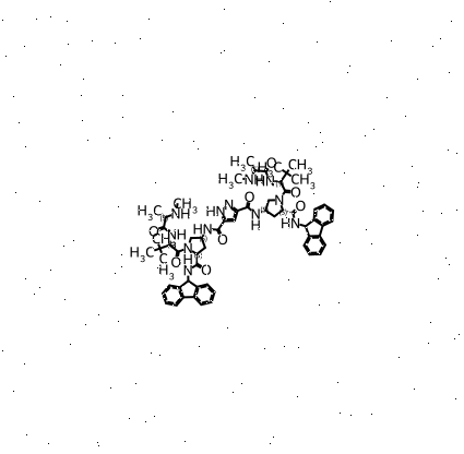 CN[C@@H](C)C(=O)N[C@H](C(=O)N1C[C@@H](NC(=O)c2cc(C(=O)N[C@H]3C[C@@H](C(=O)NC4c5ccccc5-c5ccccc54)N(C(=O)[C@@H](NC(=O)[C@H](C)NC)C(C)(C)C)C3)[nH]n2)C[C@H]1C(=O)NC1c2ccccc2-c2ccccc21)C(C)(C)C